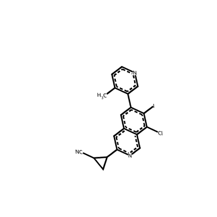 Cc1ccncc1-c1cc2cc(C3CC3C#N)ncc2c(Cl)c1I